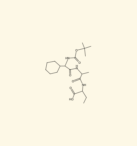 CCC(NC(=O)C(C)NC(=O)C(NC(=O)OC(C)(C)C)C1CCCCC1)C(=O)O